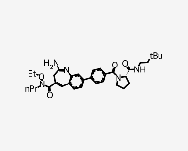 CCCN(OCC)C(=O)C1=Cc2ccc(-c3ccc(C(=O)N4CCC[C@H]4C(=O)NCCC(C)(C)C)cc3)cc2N=C(N)C1